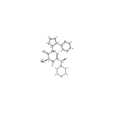 C[C@H](C(=O)N(C)[C@H](C(=O)Nc1snnc1-c1ccccc1)C(C)(C)C)C1CCCCC1